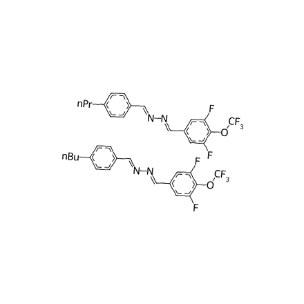 CCCCc1ccc(C=NN=Cc2cc(F)c(OC(F)(F)F)c(F)c2)cc1.CCCc1ccc(C=NN=Cc2cc(F)c(OC(F)(F)F)c(F)c2)cc1